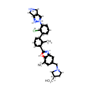 Cc1c(-c2nc3cc(CN4CC[C@@H](C(=O)O)C4)cc(C#N)c3o2)cccc1-c1cccc(-n2cc3c(n2)CNC3)c1Cl